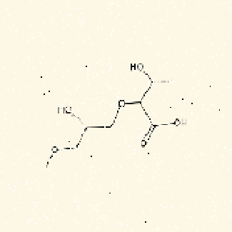 COC[C@H](O)COC(C(=O)O)[C@@H](C)O